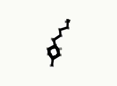 [CH]c1ccc(OCCCBr)cc1